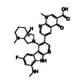 CNc1cc(F)cc2c1[nH]c1ncc(-c3cnc4c(c3)c(=O)c(C(=O)O)cn4C)c(N3CC4[C@H](CCCN4C)C3)c12